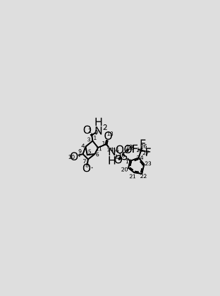 NC(=O)C1C2CC(C([O])C2[O])C1C(=O)NOS(=O)(=O)c1ccccc1C(F)(F)F